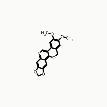 COc1cc2c(cc1OC)-c1cnc3cc4c(cc3c1OC2)OCO4